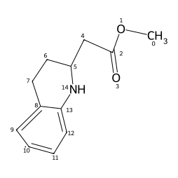 COC(=O)CC1CCc2c[c]ccc2N1